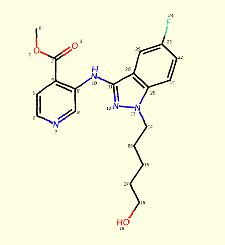 COC(=O)c1ccncc1Nc1nn(CCCCCO)c2ccc(F)cc12